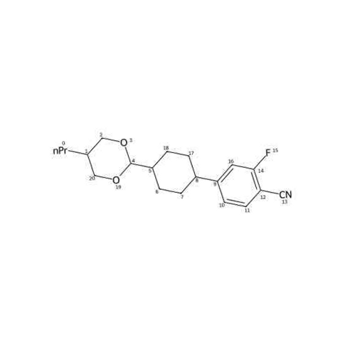 CCCC1COC(C2CCC(c3ccc(C#N)c(F)c3)CC2)OC1